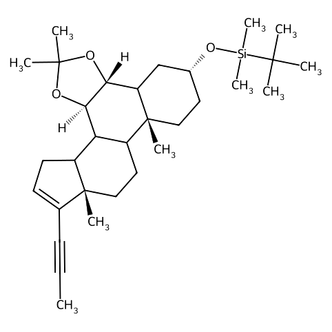 CC#CC1=CCC2C3C(CC[C@]12C)[C@@]1(C)CC[C@@H](O[Si](C)(C)C(C)(C)C)CC1[C@H]1OC(C)(C)O[C@H]31